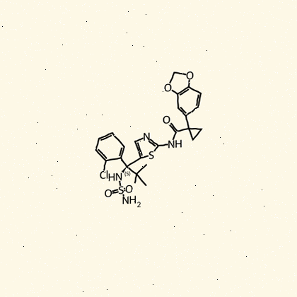 CC(C)(C)[C@@](NS(N)(=O)=O)(c1cnc(NC(=O)C2(c3ccc4c(c3)OCO4)CC2)s1)c1ccccc1Cl